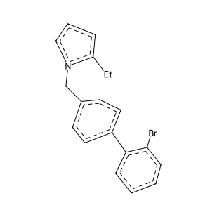 CCc1cccn1Cc1ccc(-c2ccccc2Br)cc1